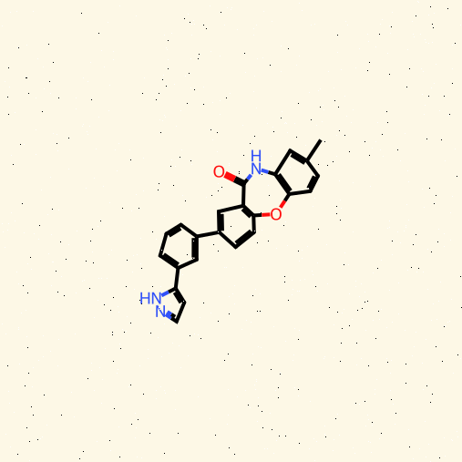 Cc1ccc2c(c1)NC(=O)c1cc(-c3cccc(-c4ccn[nH]4)c3)ccc1O2